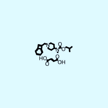 CC(C)COC(=O)N(C)C1CCN(CC2=Cc3ccccc32)CC1.O=C(O)/C=C/C(=O)O